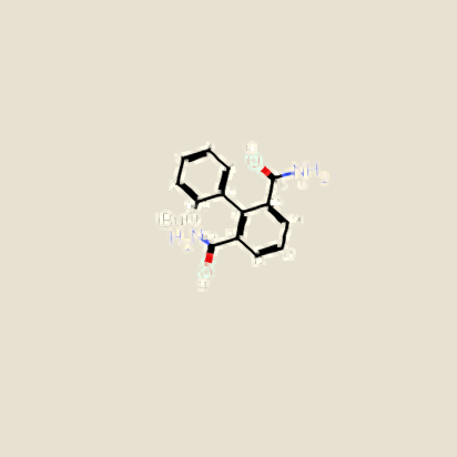 CC(C)COc1ccccc1-c1c(C(N)=O)cccc1C(N)=O